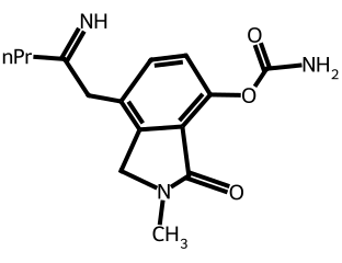 CCCC(=N)Cc1ccc(OC(N)=O)c2c1CN(C)C2=O